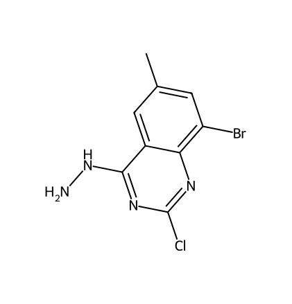 Cc1cc(Br)c2nc(Cl)nc(NN)c2c1